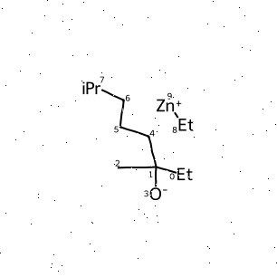 CCC(C)([O-])CCCC(C)C.C[CH2][Zn+]